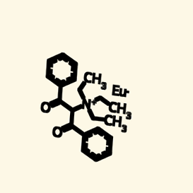 CC[N+](CC)(CC)C(C(=O)c1ccccc1)C(=O)c1ccccc1.[Eu]